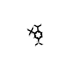 CC(C)c1ccc(N(C)C)cc1C(C)(C)C